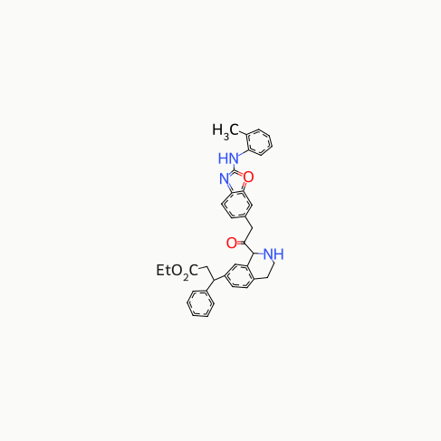 CCOC(=O)CC(c1ccccc1)c1ccc2c(c1)C(C(=O)Cc1ccc3nc(Nc4ccccc4C)oc3c1)NCC2